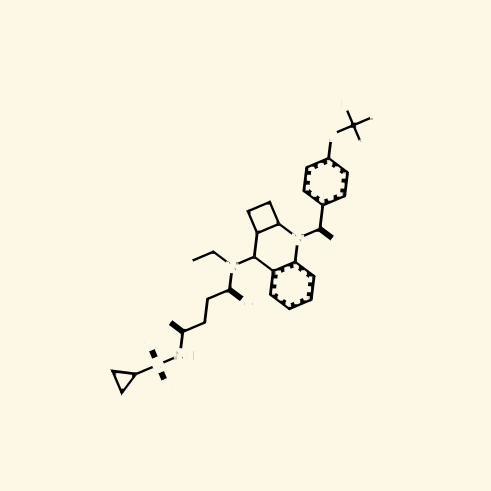 CCN(C(=O)CCC(=O)NS(=O)(=O)C1CC1)C1c2ccccc2N(C(=O)c2ccc(SC(F)(F)F)cc2)C2CCC12